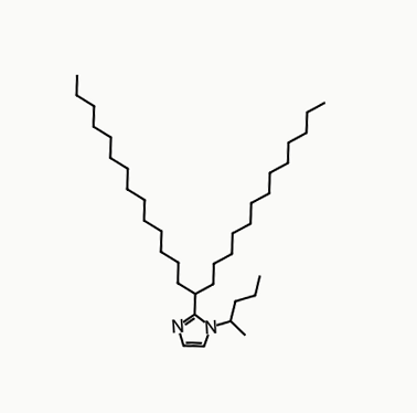 CCCCCCCCCCCCCCC(CCCCCCCCCCCCC)c1nccn1C(C)CCC